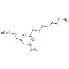 CCCCCCCCOCC(COCCCCCCCC)OC(=O)CCCCCCCBr